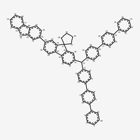 c1ccc(-c2ccc(-c3ccc(C(c4ccc(-c5ccc(-c6ccccc6)cc5)cc4)c4ccc5c(c4)C4(CCCC4)c4cc(-c6ccc7c(c6)oc6ccccc67)ccc4-5)cc3)cc2)cc1